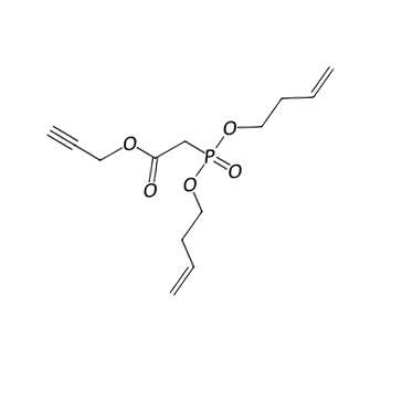 C#CCOC(=O)CP(=O)(OCCC=C)OCCC=C